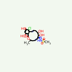 C[C@H]1C/C=C\C(=NNS(C)(=O)=O)[C@@H](O)[C@@H](O)C/C=C/c2c(Cl)c(O)cc(O)c2C(=O)O1